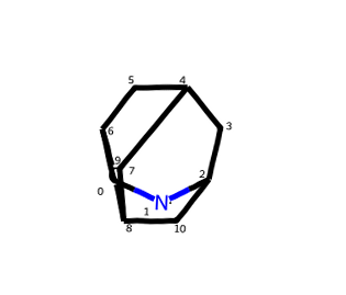 C1[N]C2CC3CC1CC(C3)C2